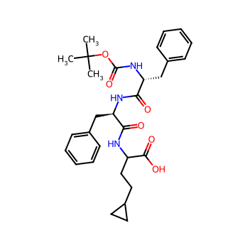 CC(C)(C)OC(=O)N[C@H](Cc1ccccc1)C(=O)N[C@H](Cc1ccccc1)C(=O)NC(CCC1CC1)C(=O)O